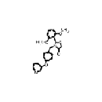 COc1cccc(OC)c1C1SCC(=O)N1Cc1ccc(Oc2cccnc2)cc1